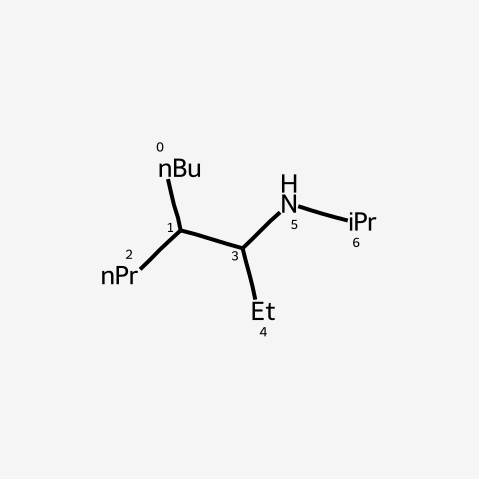 CCCCC(CCC)C(CC)NC(C)C